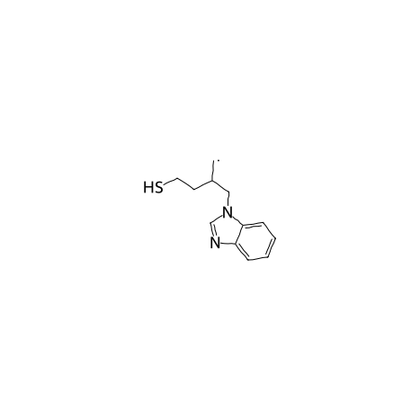 [CH2]C(CCS)Cn1cnc2ccccc21